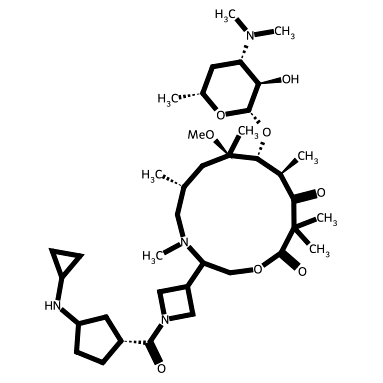 CO[C@]1(C)C[C@@H](C)CN(C)C(C2CN(C(=O)[C@@H]3CCC(NC4CC4)C3)C2)COC(=O)C(C)(C)C(=O)[C@H](C)[C@H]1O[C@@H]1O[C@H](C)C[C@H](N(C)C)[C@H]1O